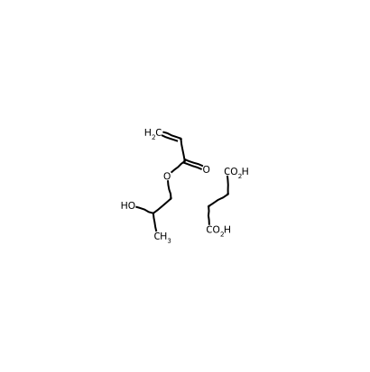 C=CC(=O)OCC(C)O.O=C(O)CCC(=O)O